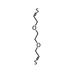 S=CCOCCOCC=S